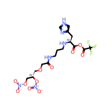 O=C(COC[C@@H](CO[N+](=O)[O-])O[N+](=O)[O-])NCCCN[C@@H](Cc1c[nH]cn1)C(=O)OC(=O)C(F)(F)F